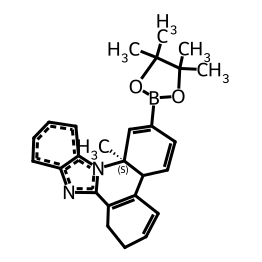 CC1(C)OB(C2=C[C@@]3(C)C(C=C2)C2=C(CCC=C2)c2nc4ccccc4n23)OC1(C)C